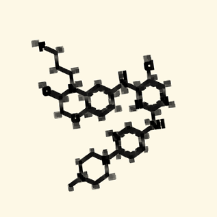 CN1CCN(c2ccc(Nc3ncc(Cl)c(Nc4ccc5c(c4)N(CCCF)C(=O)CO5)n3)cn2)CC1